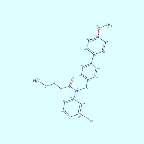 CCCCC(=O)N(Cc1ccc(-c2ccc(OC)cc2)cc1)c1cccc(I)c1